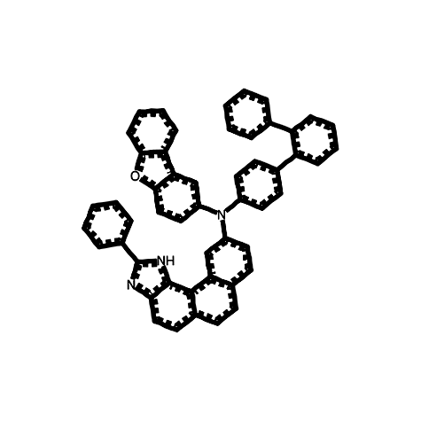 c1ccc(-c2nc3ccc4ccc5ccc(N(c6ccc(-c7ccccc7-c7ccccc7)cc6)c6ccc7oc8ccccc8c7c6)cc5c4c3[nH]2)cc1